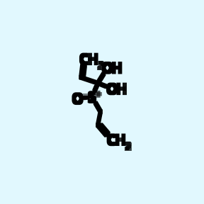 C=CC[S+]([O-])C(O)(O)C=C